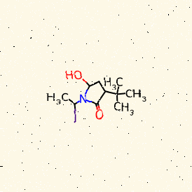 CC(I)N1C(=O)C(C(C)(C)C)CC1O